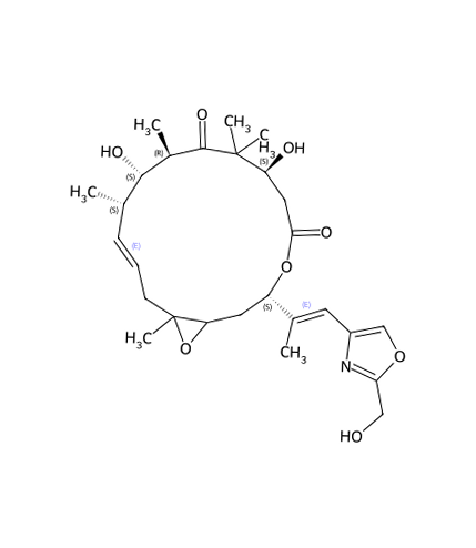 C/C(=C\c1coc(CO)n1)[C@@H]1CC2OC2(C)C/C=C/[C@H](C)[C@H](O)[C@@H](C)C(=O)C(C)(C)[C@@H](O)CC(=O)O1